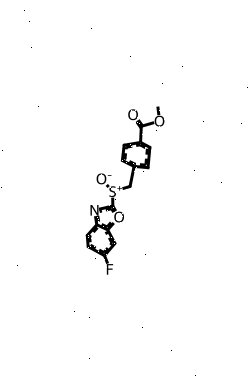 COC(=O)c1ccc(C[S+]([O-])c2nc3ccc(F)cc3o2)cc1